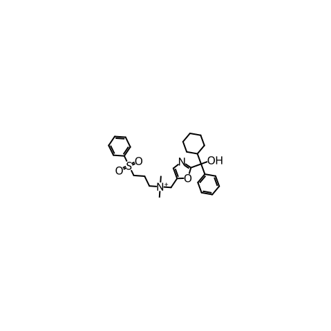 C[N+](C)(CCCS(=O)(=O)c1ccccc1)Cc1cnc(C(O)(c2ccccc2)C2CCCCC2)o1